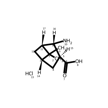 CC1(C)[C@@H]2C[C@H](C(=O)O)[C@@H](N)[C@H]1C2.Cl